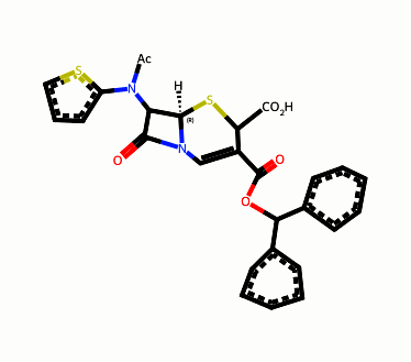 CC(=O)N(c1cccs1)C1C(=O)N2C=C(C(=O)OC(c3ccccc3)c3ccccc3)C(C(=O)O)S[C@H]12